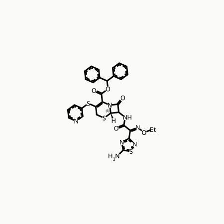 CCON=C(C(=O)NC1C(=O)N2C(C(=O)OC(c3ccccc3)c3ccccc3)=C(Sc3cccnc3)CS[C@@H]12)c1nsc(N)n1